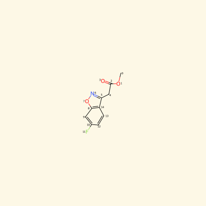 COC(=O)Cc1noc2cc(F)ccc12